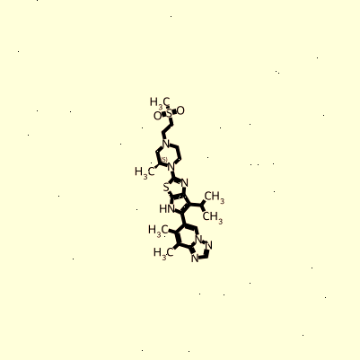 Cc1c(-c2[nH]c3sc(N4CCN(CCS(C)(=O)=O)C[C@@H]4C)nc3c2C(C)C)cn2ncnc2c1C